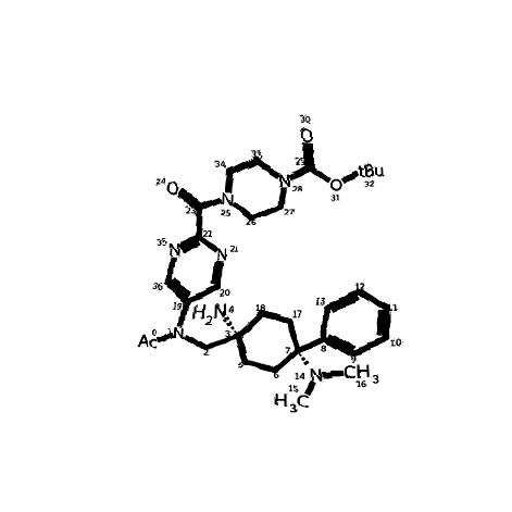 CC(=O)N(C[C@]1(N)CC[C@@](c2ccccc2)(N(C)C)CC1)c1cnc(C(=O)N2CCN(C(=O)OC(C)(C)C)CC2)nc1